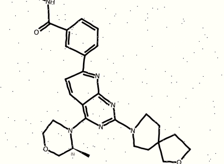 CNC(=O)c1cccc(-c2ccc3c(N4CCOC[C@@H]4C)nc(N4CCC5(CCOC5)CC4)nc3n2)c1